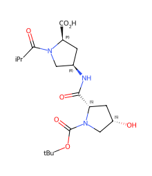 CC(C)C(=O)N1C[C@H](NC(=O)[C@@H]2C[C@H](O)CN2C(=O)OC(C)(C)C)C[C@@H]1C(=O)O